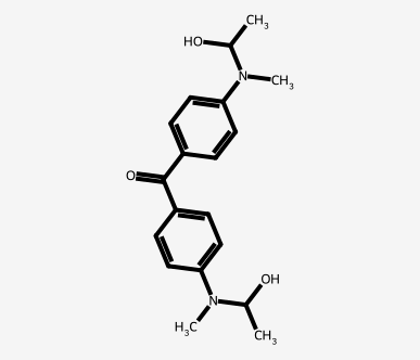 CC(O)N(C)c1ccc(C(=O)c2ccc(N(C)C(C)O)cc2)cc1